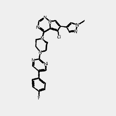 Cn1cc(-c2cn3ncnc(N4CCN(c5ncc(-c6ccc(F)cc6)cn5)CC4)c3c2Cl)cn1